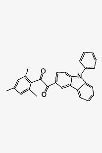 Cc1cc(C)c(C(=O)C(=O)c2ccc3c(c2)c2ccccc2n3-c2ccccc2)c(C)c1